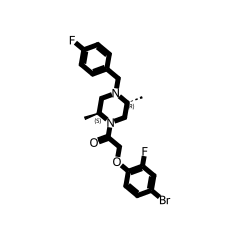 C[C@@H]1CN(C(=O)COc2ccc(Br)cc2F)[C@@H](C)CN1Cc1ccc(F)cc1